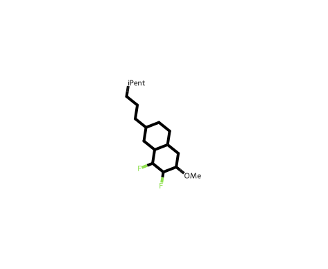 CCCC(C)CCCC1CCC2CC(OC)C(F)C(F)C2C1